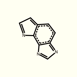 C1=Nc2c3c(ccc2=C1)=NC=N3